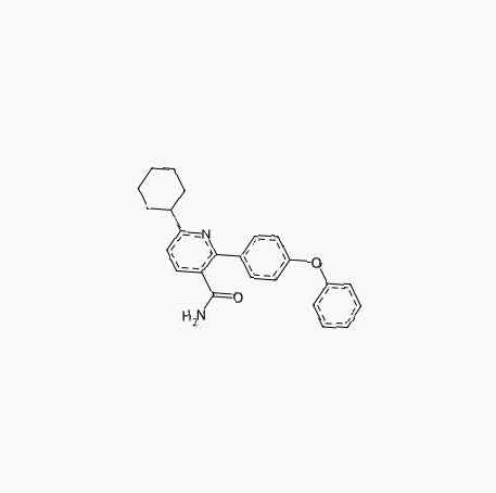 NC(=O)c1ccc(C2CCCCC2)nc1-c1ccc(Oc2ccccc2)cc1